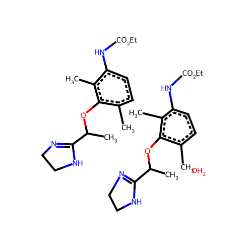 CCOC(=O)Nc1ccc(C)c(OC(C)C2=NCCN2)c1C.CCOC(=O)Nc1ccc(C)c(OC(C)C2=NCCN2)c1C.O